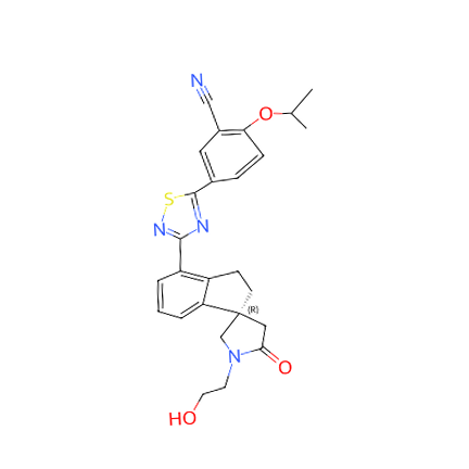 CC(C)Oc1ccc(-c2nc(-c3cccc4c3CC[C@@]43CC(=O)N(CCO)C3)ns2)cc1C#N